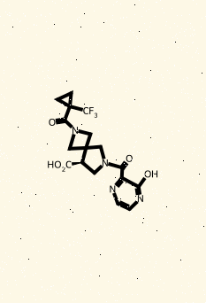 O=C(O)[C@@H]1CN(C(=O)c2nccnc2O)CC12CN(C(=O)C1(C(F)(F)F)CC1)C2